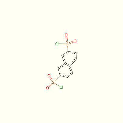 O=S(=O)(Cl)c1ccc2ccc(S(=O)(=O)Cl)cc2c1